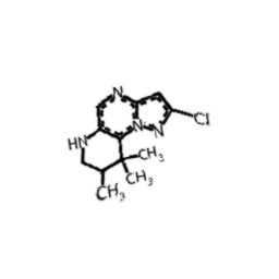 CC1CNc2cnc3cc(Cl)nn3c2C1(C)C